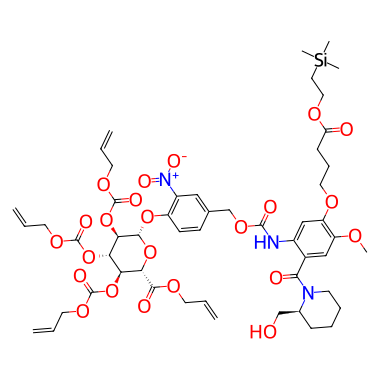 C=CCOC(=O)O[C@@H]1[C@@H](OC(=O)OCC=C)[C@H](Oc2ccc(COC(=O)Nc3cc(OCCCC(=O)OCC[Si](C)(C)C)c(OC)cc3C(=O)N3CCCC[C@H]3CO)cc2[N+](=O)[O-])O[C@H](C(=O)OCC=C)[C@H]1OC(=O)OCC=C